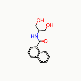 O=C(NC(CO)CO)c1cccc2ccccc12